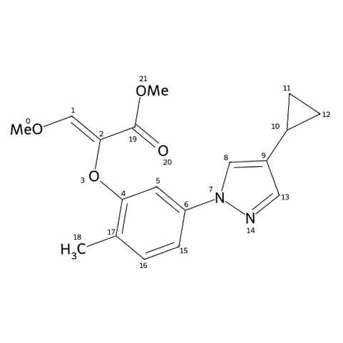 CO/C=C(\Oc1cc(-n2cc(C3CC3)cn2)ccc1C)C(=O)OC